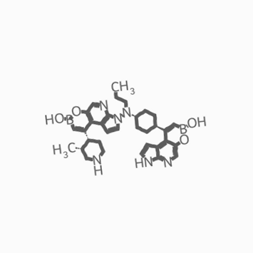 CCCN([C@H]1CC[C@H](C2=CB(O)Oc3cnc4[nH]ccc4c32)CC1)n1ccc2c3c(cnc21)OB(O)C=C3[C@@H]1CCNC[C@@H]1C